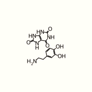 NCCc1ccc(O)c(O)c1.O=c1[nH]c(=O)c2[nH]c(=O)[nH]c2[nH]1